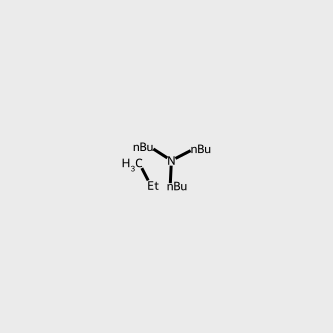 CCC.CCCCN(CCCC)CCCC